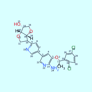 CC(Oc1cc(-c2ccc(C3CO[C@@H]4[C@H](O)CO[C@H]34)nc2)cnc1N)c1cc(Cl)ccc1Cl